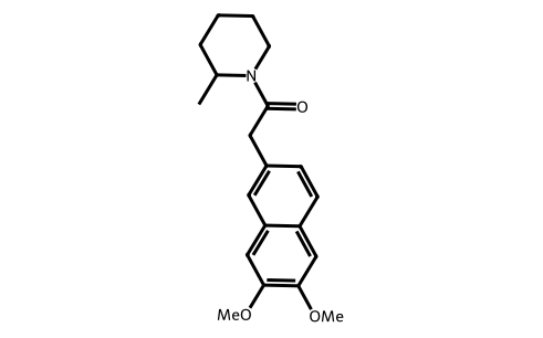 COc1cc2ccc(CC(=O)N3CCCCC3C)cc2cc1OC